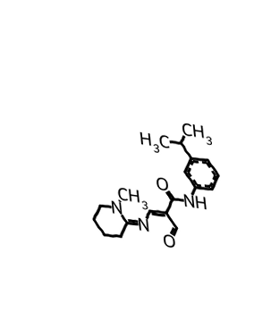 CC(C)c1cccc(NC(=O)/C(C=O)=C/N=C2/CCCCN2C)c1